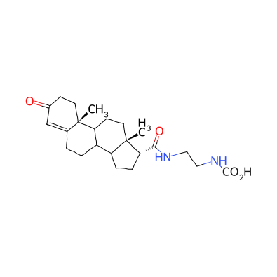 C[C@]12CCC(=O)C=C1CCC1C2CC[C@@]2(C)C1CC[C@H]2C(=O)NCCNC(=O)O